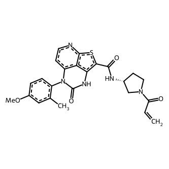 C=CC(=O)N1CC[C@@H](NC(=O)c2sc3nccc4c3c2NC(=O)N4c2ccc(OC)cc2C)C1